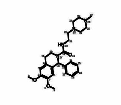 COc1cc2c(cc1OC)C(c1ccccc1)N(C(=O)NCCN1CCN(C)CC1)CC2